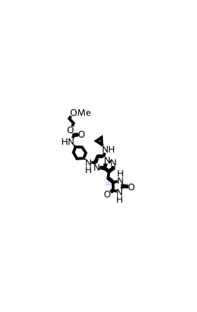 COCCOC(=O)N[C@H]1CC[C@H](Nc2cc(NC3CC3)n3ncc(/C=C4\NC(=O)NC4=O)c3n2)CC1